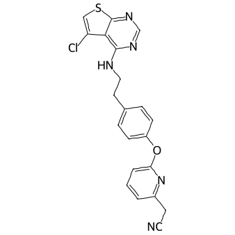 N#CCc1cccc(Oc2ccc(CCNc3ncnc4scc(Cl)c34)cc2)n1